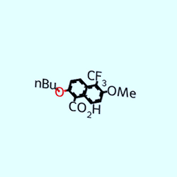 CCCCOc1ccc2c(C(F)(F)F)c(OC)ccc2c1C(=O)O